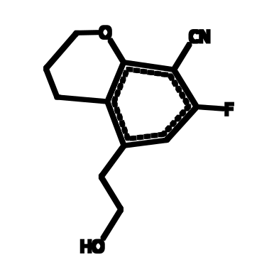 N#Cc1c(F)cc(CCO)c2c1OCCC2